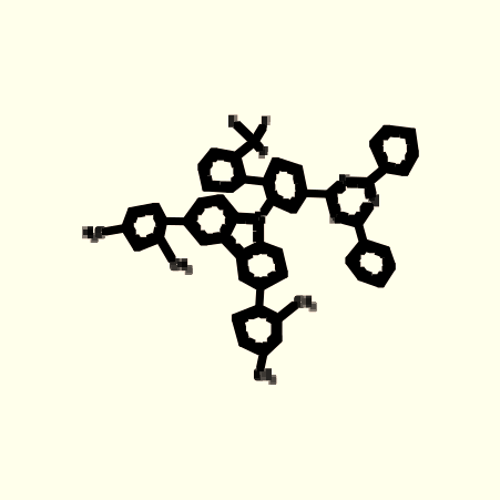 Cc1ccc(-c2ccc3c(c2)c2cc(-c4ccc(C)cc4C)ccc2n3-c2cc(-c3nc(-c4ccccc4)nc(-c4ccccc4)n3)ccc2-c2ccccc2C(F)(F)F)c(C)c1